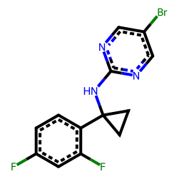 Fc1ccc(C2(Nc3ncc(Br)cn3)CC2)c(F)c1